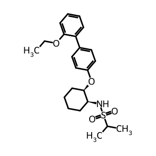 CCOc1ccccc1-c1ccc(O[C@@H]2CCCC[C@@H]2NS(=O)(=O)C(C)C)cc1